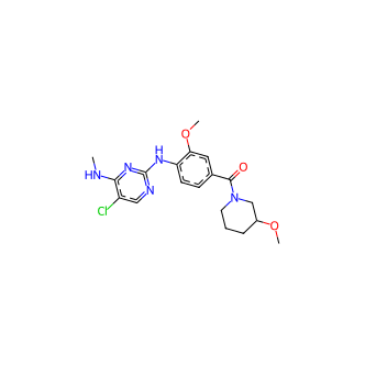 CNc1nc(Nc2ccc(C(=O)N3CCCC(OC)C3)cc2OC)ncc1Cl